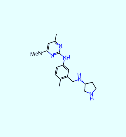 CNc1cc(C)nc(Nc2ccc(C)c(CN[C@H]3CCNC3)c2)n1